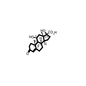 C[C@]12CCC(=O)C=C1CC[C@H]1[C@@H]3CC[C@](O)(C(=O)O)[C@@]3(C)C[C@H](O)[C@@]12F